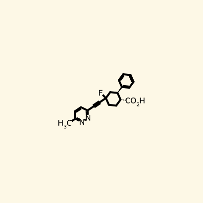 Cc1ccc(C#CC2(F)CC[C@@H](C(=O)O)[C@H](c3ccccc3)C2)nn1